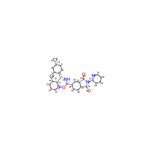 O=C(N[C@@H](c1ccc(C(F)(F)F)cc1)c1ncccc1C(F)(F)F)c1ccc2c(c1)C(=O)N(c1ccccn1)C2=O